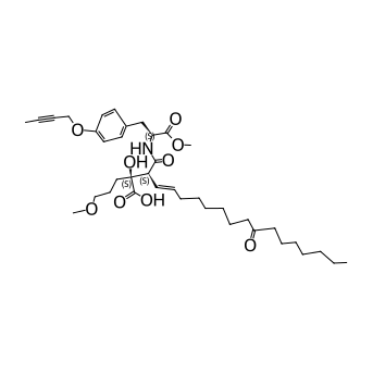 CC#CCOc1ccc(C[C@H](NC(=O)[C@@H](C=CCCCCCCC(=O)CCCCCCC)[C@@](O)(CCCOC)C(=O)O)C(=O)OC)cc1